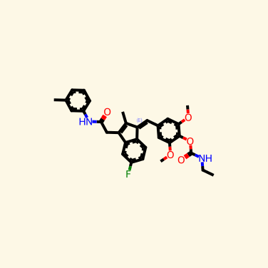 CCNC(=O)Oc1c(OC)cc(/C=C2/C(C)=C(CC(=O)Nc3cccc(C)c3)c3cc(F)ccc32)cc1OC